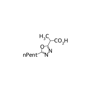 CCCCCc1nnc(C(C)C(=O)O)o1